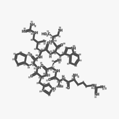 CCCC[C@H](NC(=O)[C@@H](N)CCCNC(=N)N)C(=O)N[C@@H](CS)C(=O)N[C@@H](Cc1c[nH]cn1)C(=O)N[C@H](Cc1ccccc1)C(=O)N[C@@H](CC(Br)CNC(=N)N)C(=O)N[C@H](Cc1c[nH]c2ccccc12)C(=O)N[C@@H](CS)C(=O)O